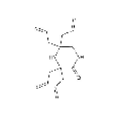 C=CCC1(CC=C)CNC(=O)C(CC=C)(CC=C)N1